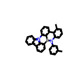 Cc1cccc(N2B3c4c(cccc4-n4c5ccccc5c5cccc3c54)-c3c(C)cccc32)c1